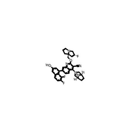 N#Cc1c(OC[C@@]23CCCN2C[C@H](F)C3)nc2cc(-c3cc(O)cc4ccc(F)c(F)c34)ccc2c1N1C[C@H]2CC[C@@H](C1)N2